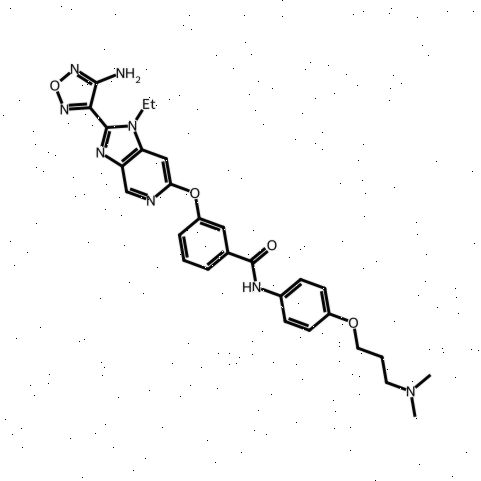 CCn1c(-c2nonc2N)nc2cnc(Oc3cccc(C(=O)Nc4ccc(OCCCN(C)C)cc4)c3)cc21